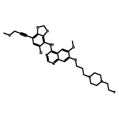 COCC#Cc1cc(Cl)c(Nc2ncnc3cc(OCCCN4CCN(CCF)CC4)c(OC)cc23)c2c1OCO2